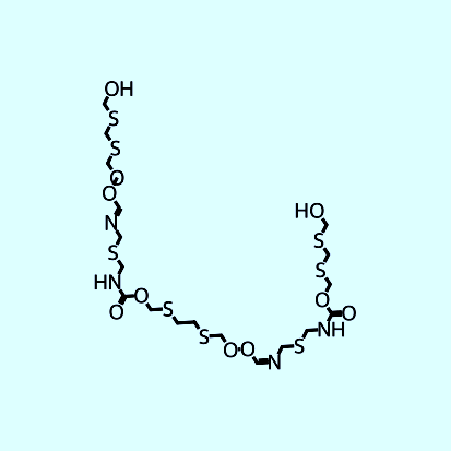 O=C(NCSC/N=C/OOCSCSCO)OCSCCSCOO/C=N\CSCNC(=O)OCSCSCO